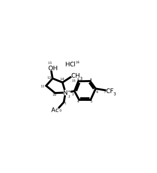 CC(=O)C[N+]1(c2ccc(C(F)(F)F)cc2)CCC(O)C1C.Cl